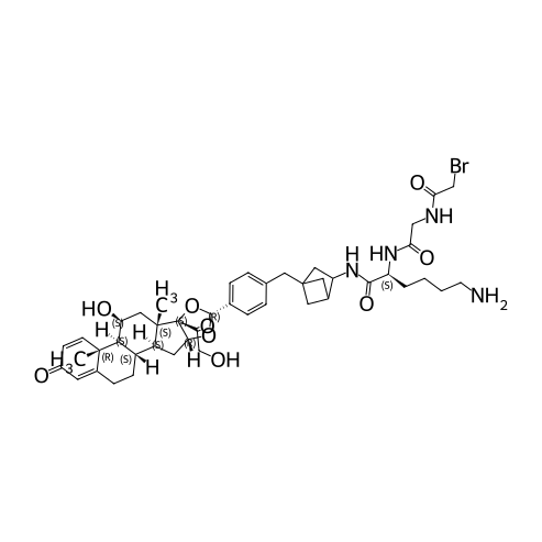 C[C@]12C=CC(=O)C=C1CC[C@@H]1[C@@H]2[C@@H](O)C[C@@]2(C)[C@H]1C[C@H]1O[C@@H](c3ccc(CC45CC(C4)C(NC(=O)[C@H](CCCCN)NC(=O)CNC(=O)CBr)C5)cc3)O[C@]12C(=O)CO